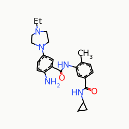 CCN1CCN(c2ccc(N)c(C(=O)Nc3cc(C(=O)NC4CC4)ccc3C)c2)CC1